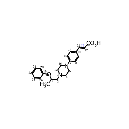 CC(CN1CCN(c2ccc(/C=C/C(=O)O)cc2)CC1)Oc1ccccc1